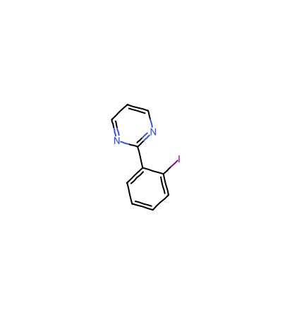 Ic1ccccc1-c1ncccn1